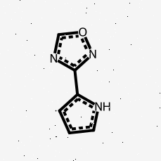 [c]1cc[nH]c1-c1ncon1